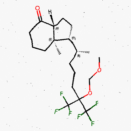 COCOC(CCC[C@@H](C)[C@H]1CC[C@H]2C(=O)CCC[C@]12C)(C(F)(F)F)C(F)(F)F